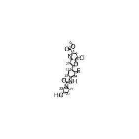 COC(=O)c1cc(Cl)c2oc(-c3ccc(NC(=O)N4CCC(O)C4)cc3F)cc2n1